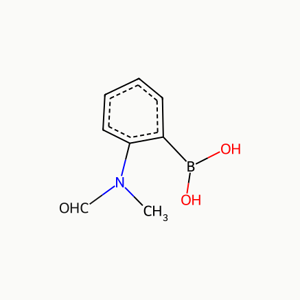 CN(C=O)c1ccccc1B(O)O